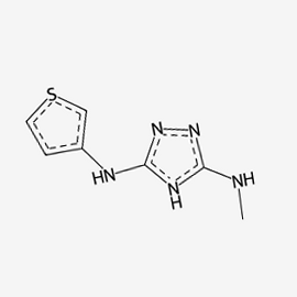 CNc1nnc(Nc2ccsc2)[nH]1